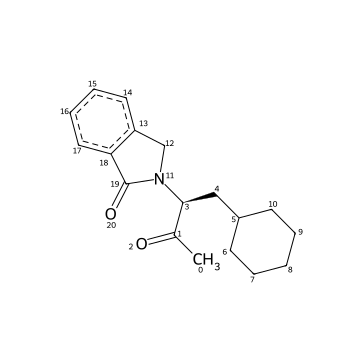 CC(=O)[C@H](CC1CCCCC1)N1Cc2ccccc2C1=O